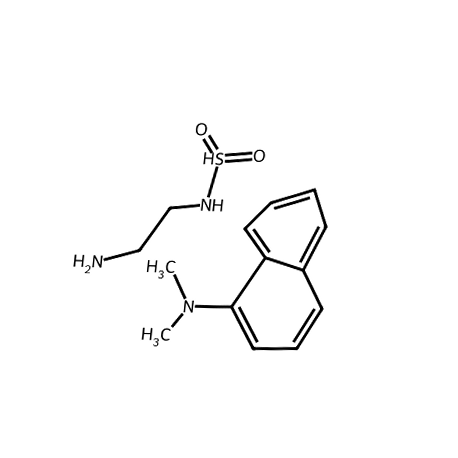 CN(C)c1cccc2ccccc12.NCCN[SH](=O)=O